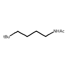 CC(=O)NCCCCC(C)(C)C